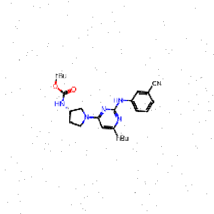 CCCCc1cc(N2CC[C@H](NC(=O)OC(C)(C)C)C2)nc(Nc2cccc(C#N)c2)n1